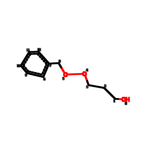 OCCCOOCc1ccccc1